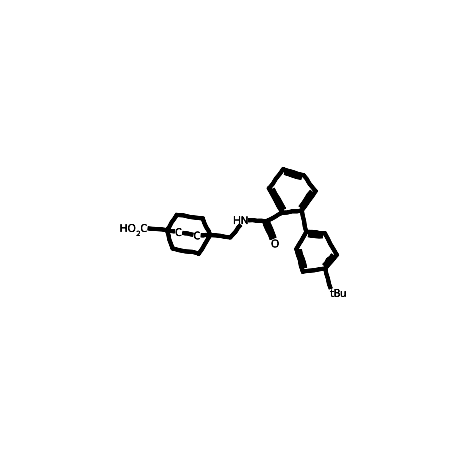 CC(C)(C)c1ccc(-c2ccccc2C(=O)NCC23CCC(C(=O)O)(CC2)CC3)cc1